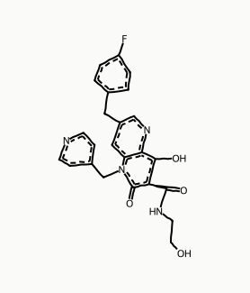 O=C(NCCO)c1c(O)c2ncc(Cc3ccc(F)cc3)cc2n(Cc2ccncc2)c1=O